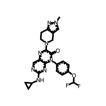 Cn1cc2c(n1)CCN(c1nc3cnc(NC4CC4)nc3n(-c3ccc(OC(F)F)cc3)c1=O)C2